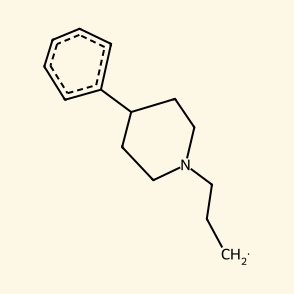 [CH2]CCN1CCC(c2ccccc2)CC1